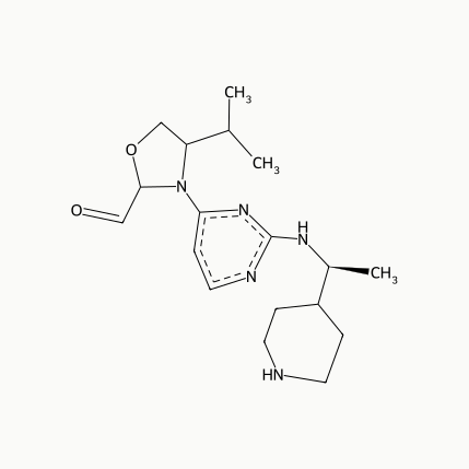 CC(C)C1COC(C=O)N1c1ccnc(N[C@@H](C)C2CCNCC2)n1